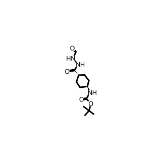 CC(C)(C)OC(=O)N[C@H]1CC[C@H](C(=O)NNC=O)CC1